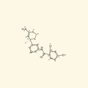 C[C@@]1(c2cncc(NC(=O)c3ncc(Cl)cc3Cl)c2)CCSC(N)=N1